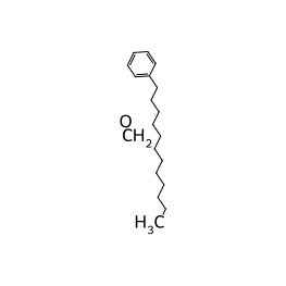 C=O.CCCCCCCCCCCCc1ccccc1